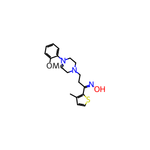 COc1ccccc1N1CCN(CCC(=NO)c2sccc2C)CC1